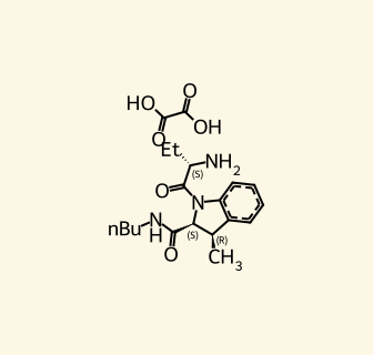 CCCCNC(=O)[C@@H]1[C@H](C)c2ccccc2N1C(=O)[C@@H](N)CC.O=C(O)C(=O)O